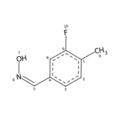 Cc1ccc(/C=N\O)cc1F